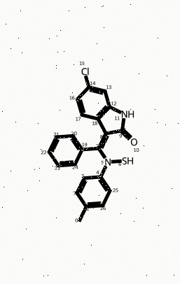 Cc1ccc(N(S)/C(=C2\C(=O)Nc3cc(Cl)ccc32)c2ccccc2)cc1